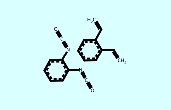 C=Cc1ccccc1C=C.O=C=Nc1ccccc1N=C=O